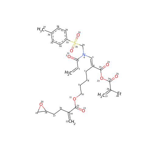 C=CC(=O)N(C=C(CCCCOC(=O)C(=C)CCC1CO1)C(=O)OC(=O)C(=C)CC)CS(=O)(=O)c1ccc(C)cc1